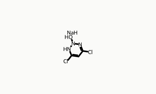 ON1N=C(Cl)C=C(Cl)N1.[NaH]